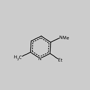 CCc1nc(C)ccc1NC